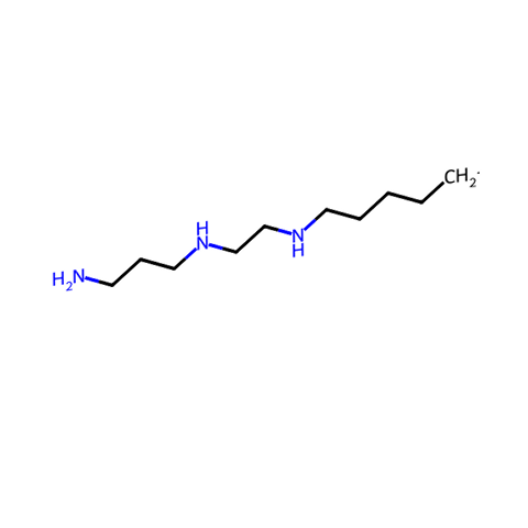 [CH2]CCCCNCCNCCCN